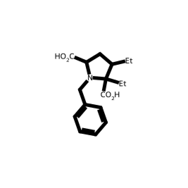 CCC1CC(C(=O)O)N(Cc2ccccc2)C1(CC)C(=O)O